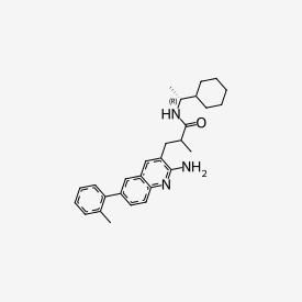 Cc1ccccc1-c1ccc2nc(N)c(CC(C)C(=O)N[C@H](C)C3CCCCC3)cc2c1